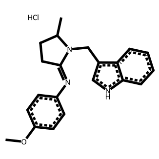 COc1ccc(N=C2CCC(C)N2Cc2c[nH]c3ccccc23)cc1.Cl